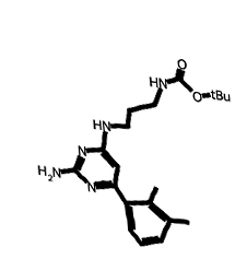 Cc1cccc(-c2cc(NCCCNC(=O)OC(C)(C)C)nc(N)n2)c1C